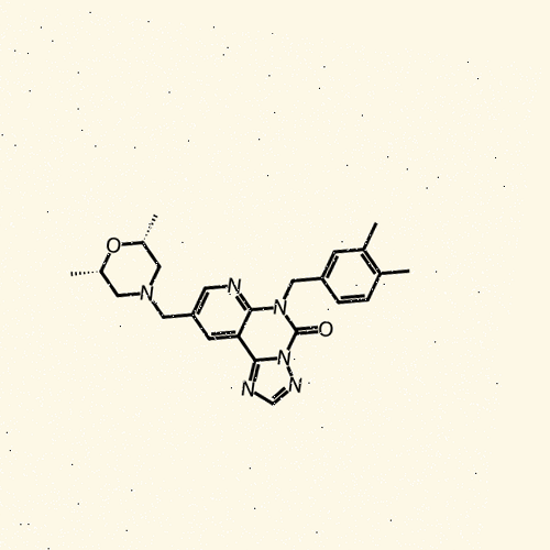 Cc1ccc(Cn2c(=O)n3ncnc3c3cc(CN4C[C@@H](C)O[C@@H](C)C4)cnc32)cc1C